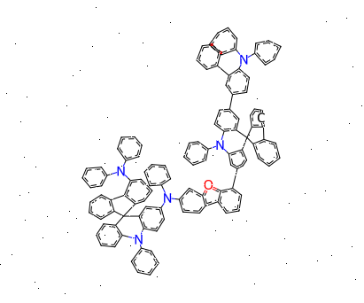 c1ccc(-c2cc(-c3ccc4c(c3)C3(c5ccccc5-c5ccccc53)c3ccc(-c5cccc6c5oc5cc(N(c7ccccc7)c7ccc8c(c7)C7(c9ccccc9-c9c(N(c%10ccccc%10)c%10ccccc%10)cccc97)c7ccccc7N8c7ccccc7)ccc56)cc3N4c3ccccc3)ccc2N(c2ccccc2)c2ccccc2)cc1